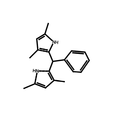 Cc1cc(C)c(C(c2ccccc2)c2[nH]c(C)cc2C)[nH]1